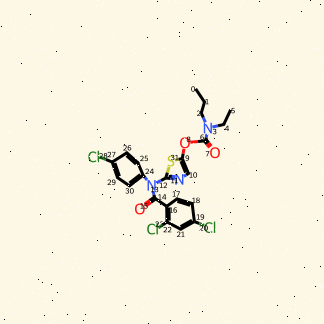 CCCN(CC)C(=O)Oc1cnc(N(C(=O)c2ccc(Cl)cc2Cl)c2ccc(Cl)cc2)s1